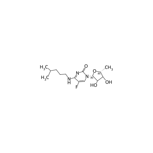 CC(C)CCCNc1nc(=O)n([C@@H]2O[C@H](C)C(O)C2O)cc1F